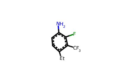 CCc1ccc(N)c(F)c1C(F)(F)F